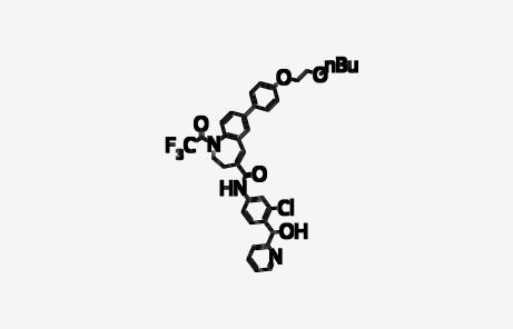 CCCCOCCOc1ccc(-c2ccc3c(c2)C=C(C(=O)Nc2ccc(C(O)c4ccccn4)c(Cl)c2)CCN3C(=O)C(F)(F)F)cc1